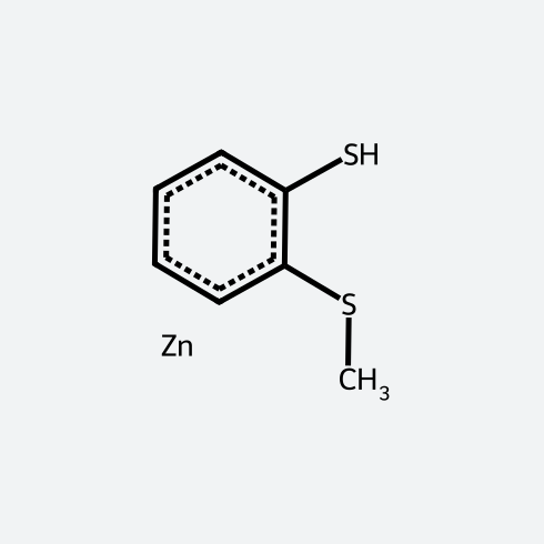 CSc1ccccc1S.[Zn]